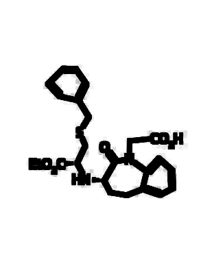 CCOC(=O)[C@H](CSCc1ccccc1)N[C@H]1CCc2ccccc2N(CC(=O)O)C1=O